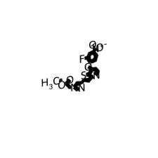 CCOC(=O)Cn1cnc(-c2cc3nccc(Oc4ccc([N+](=O)[O-])cc4F)c3s2)c1